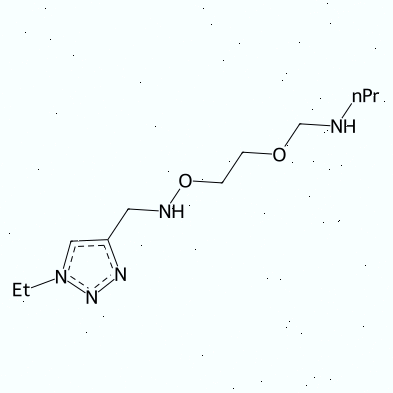 CCCNCOCCONCc1cn(CC)nn1